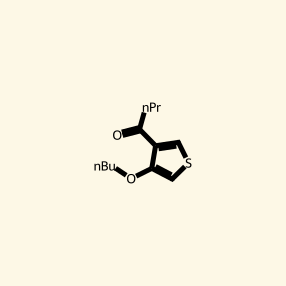 CCCCOc1cscc1C(=O)CCC